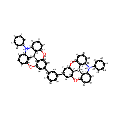 c1ccc(N2c3cccc4c3B3c5c(cc(-c6cccc(-c7cc8c9c(c7)Oc7cccc%10c7B9c7c(cccc7N%10c7ccccc7)O8)c6)cc5Oc5cccc2c53)O4)cc1